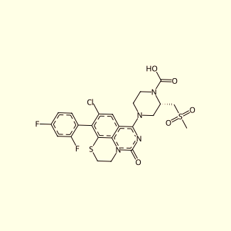 CS(=O)(=O)C[C@@H]1CN(c2nc(=O)n3c4c(c(-c5ccc(F)cc5F)c(Cl)cc24)SCC3)CCN1C(=O)O